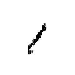 C#CCCOCCOCCNCc1ccc2cc(CCc3ccc(F)cc3)oc2c1